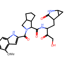 COc1cccc2[nH]c(C(=O)N3CC4CCCC4C3C(=O)NC(CC3C(=O)NC4CC43)C(=O)CO)cc12